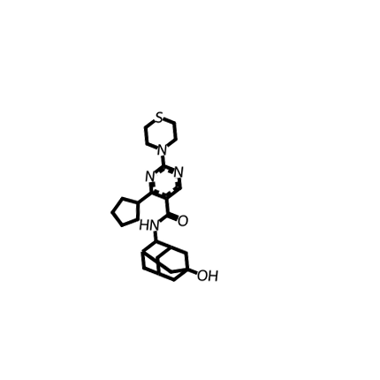 O=C(NC1C2CC3CC1CC(O)(C3)C2)c1cnc(N2CCSCC2)nc1C1CCCC1